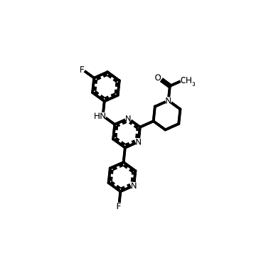 CC(=O)N1CCCC(c2nc(Nc3cccc(F)c3)cc(-c3ccc(F)nc3)n2)C1